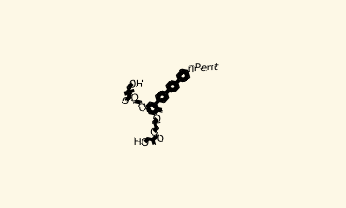 C=C(CO)C(=O)OCCOc1cc(OCCOC(=O)C(C)(C)CO)cc(-c2ccc(-c3ccc(-c4ccc(CCCCC)cc4)cc3)cc2)c1C